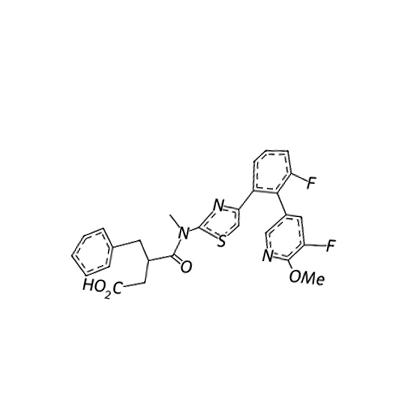 COc1ncc(-c2c(F)cccc2-c2csc(N(C)C(=O)C(CC(=O)O)Cc3ccccc3)n2)cc1F